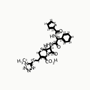 Cn1nnnc1SCC1=C(C(=O)O)N2C(=O)C(NC(=O)C(NC(=O)c3cccs3)c3ccccc3)[C@@H]2SC1